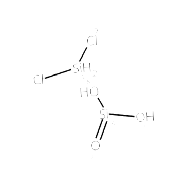 Cl[SiH2]Cl.O=[Si](O)O